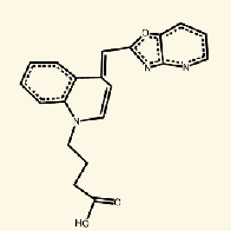 O=C(O)CCCN1C=CC(=Cc2nc3ncccc3o2)c2ccccc21